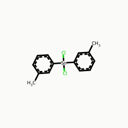 Cc1ccc[c]([Sn]([Cl])([Cl])[c]2cccc(C)c2)c1